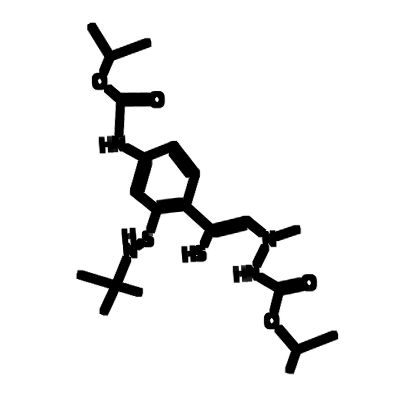 CC(C)OC(=O)Nc1ccc(/C(S)=C/N(C)NC(=O)OC(C)C)c(SNC(C)(C)C)c1